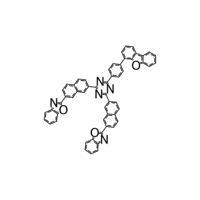 c1ccc2oc(-c3ccc4ccc(-c5nc(-c6ccc(-c7cccc8c7oc7ccccc78)cc6)nc(-c6ccc7ccc(-c8nc9ccccc9o8)cc7c6)n5)cc4c3)nc2c1